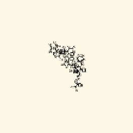 CC[C@H](C)[C@@H]([C@@H](CC(=O)N1CCC[C@H]1[C@H](OC)[C@@H](C)C(=O)N[C@H](Cc1ccccc1)C(=O)NCCCOC(=O)C(C)C)OC)N(C)C(=O)[C@@H](NC(=O)[C@H](C(C)C)N(C)C)C(C)C